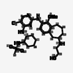 COc1c(Nc2ncc(Cl)c(N[C@@H]3CCCC[C@H]3NS(C)(=O)=O)n2)ccc2c1CCCC(NCCO)C2